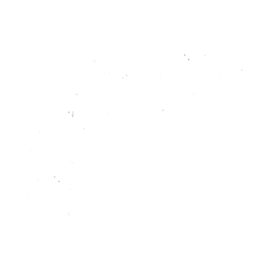 O=C1COC2(CCN(Cc3ccc(-c4ccc5cc(F)cnc5c4)cc3F)CC2)CN1C1CC1